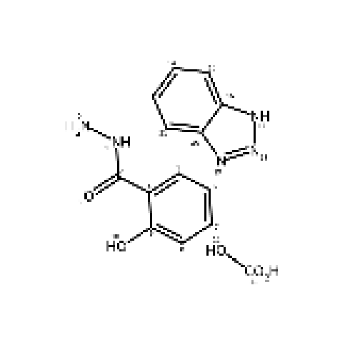 NNC(=O)c1ccccc1O.O=C(O)O.c1ccc2[nH]nnc2c1